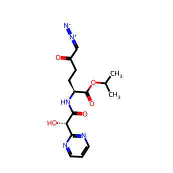 CC(C)OC(=O)[C@H](CCC(=O)C=[N+]=[N-])NC(=O)[C@@H](O)c1ncccn1